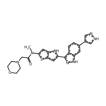 CN(C(=O)CN1CCOCC1)c1cc2[nH]c(-c3n[nH]c4cc(-c5cn[nH]c5)ccc34)cc2s1